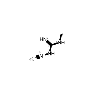 [C-]#[N+]NC(=N)NC